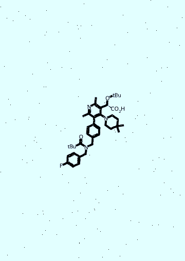 Cc1nc(C)c([C@H](OC(C)(C)C)C(=O)O)c(N2CCC(C)(C)CC2)c1-c1ccc(CN(Cc2ccc(F)cc2)C(=O)C(C)(C)C)cc1